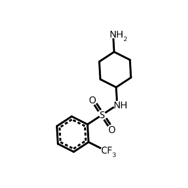 NC1CCC(NS(=O)(=O)c2ccccc2C(F)(F)F)CC1